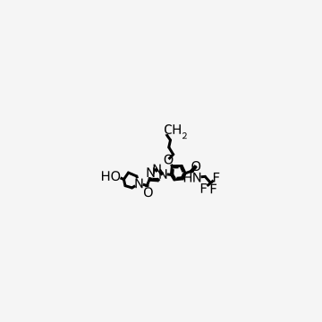 C=CCCCOc1cc(C(=O)NCC(F)(F)F)ccc1-n1cc(C(=O)N2CCC(O)CC2)nn1